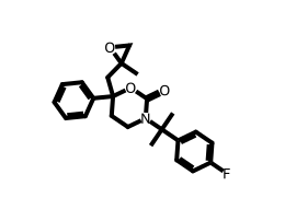 CC1(CC2(c3ccccc3)CCN(C(C)(C)c3ccc(F)cc3)C(=O)O2)CO1